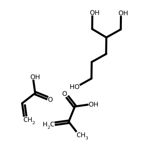 C=C(C)C(=O)O.C=CC(=O)O.OCCCC(CO)CO